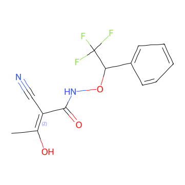 C/C(O)=C(\C#N)C(=O)NOC(c1ccccc1)C(F)(F)F